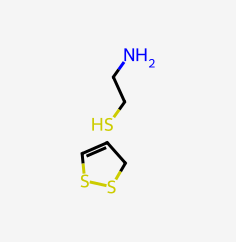 C1=CSSC1.NCCS